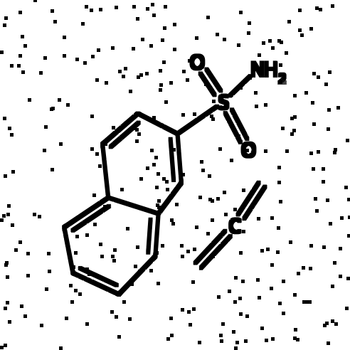 C=C=C.NS(=O)(=O)c1ccc2ccccc2c1